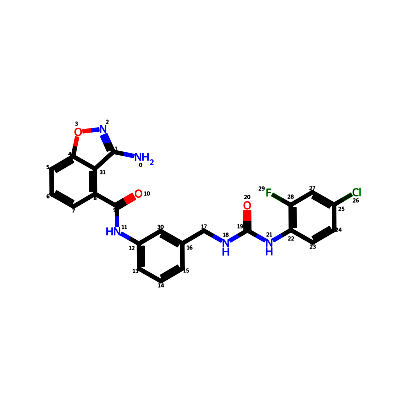 Nc1noc2cccc(C(=O)Nc3cccc(CNC(=O)Nc4ccc(Cl)cc4F)c3)c12